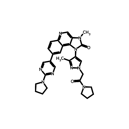 Cc1nn(CC(=O)N2CCCC2)cc1-n1c(=O)n(C)c2cnc3ccc(-c4cnc(N5CCCC5)nc4)cc3c21